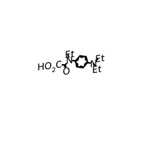 CCN(CC)c1ccc(N(CC)C(=O)C(=O)O)cc1